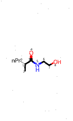 CCC[C@@H](C)C(=O)NCCO